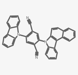 N#Cc1cc(-n2c3ccccc3c3c4ccccc4ccc32)c(C#N)cc1-n1c2ccccc2c2ccccc21